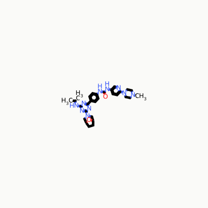 CC(C)Nc1nc(-c2ccc(NC(=O)Nc3ccc(N4CCN(C)CC4)nc3)cc2)nc(N2CC3CCC(C2)O3)n1